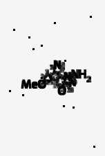 COc1ccc(-c2cccnc2)c(C2CC(=O)c3c(C)nc(N)nc3C2)c1